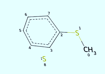 CSc1ccccc1.[S]